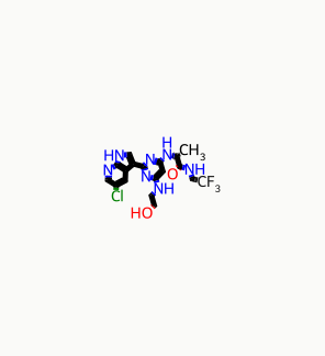 C[C@H](Nc1cc(NCCO)nc(-c2c[nH]c3ncc(Cl)cc23)n1)C(=O)NCC(F)(F)F